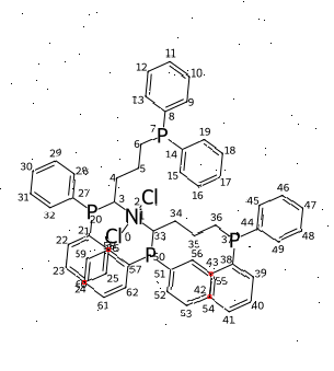 [Cl][Ni]([Cl])([CH](CCCP(c1ccccc1)c1ccccc1)P(c1ccccc1)c1ccccc1)[CH](CCCP(c1ccccc1)c1ccccc1)P(c1ccccc1)c1ccccc1